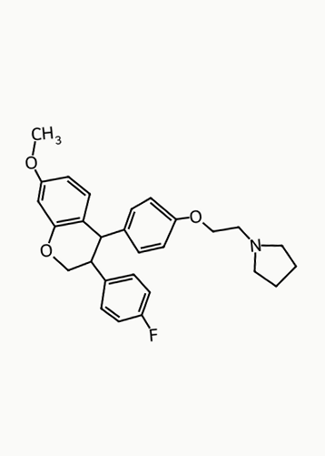 COc1ccc2c(c1)OCC(c1ccc(F)cc1)C2c1ccc(OCCN2CCCC2)cc1